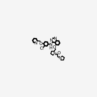 O=C(CN1CCCC1)N1CCCC1COc1cccc2ncnc(Nc3ccc(OCc4ccccn4)c(Cl)c3)c12